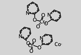 [Co].[O]=[Cr](=[O])([O]c1ccccn1)[O]c1ccccn1.[O]=[Cr](=[O])([O]c1ccccn1)[O]c1ccccn1